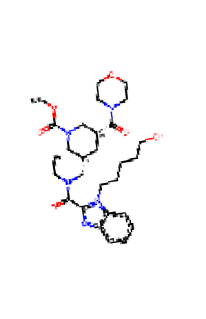 CC(C)CN(C[C@H]1C[C@@H](C(=O)N2CCOCC2)CN(C(=O)OC(C)(C)C)C1)C(=O)c1nc2ccccc2n1CCCCCO